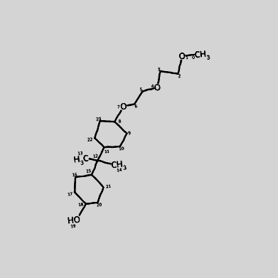 COCCOCCOC1CCC(C(C)(C)C2CCC(O)CC2)CC1